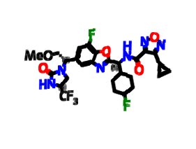 COC[C@H](c1cc(F)c2oc([C@@H](NC(=O)c3nonc3C3CC3)C3CCC(F)CC3)nc2c1)N1C[C@@H](C(F)(F)F)NC1=O